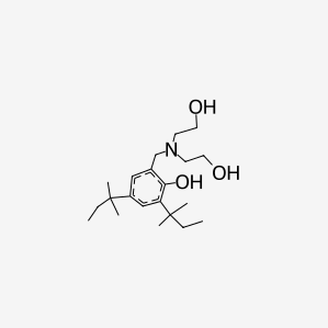 CCC(C)(C)c1cc(CN(CCO)CCO)c(O)c(C(C)(C)CC)c1